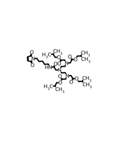 CC(C)COC(=O)CN(CCN(CCN(CC(=O)OCC(C)C)CC(=O)OCC(C)C)CC(=O)NCCCCCN1C(=O)C=CC1=O)CC(=O)OCC(C)C